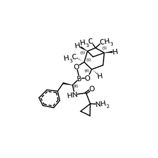 CC1(C)[C@@H]2C[C@H]3OB([C@H](Cc4ccccc4)NC(=O)C4(N)CC4)O[C@@]3(C)[C@H]1C2